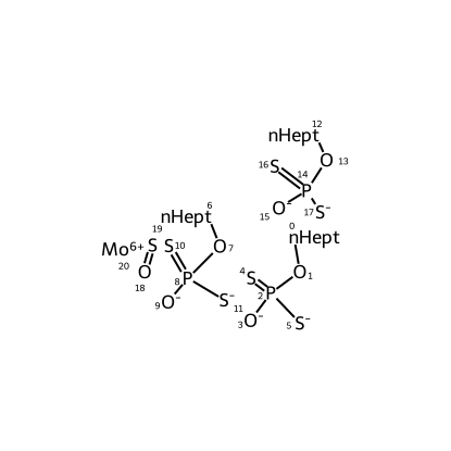 CCCCCCCOP([O-])(=S)[S-].CCCCCCCOP([O-])(=S)[S-].CCCCCCCOP([O-])(=S)[S-].O=S.[Mo+6]